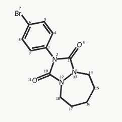 O=c1n(-c2ccc(Br)cc2)c(=O)n2n1CCCCC2